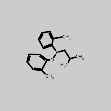 Cc1ccccc1OP(CC(C)C)c1ccccc1C